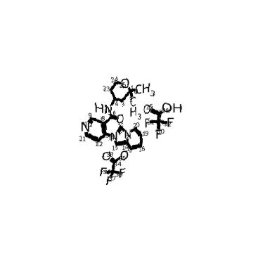 CC1(C)CC(NC(=O)c2cnccc2-[n+]2cc3ccccn3c2)CCO1.O=C(O)C(F)(F)F.O=C([O-])C(F)(F)F